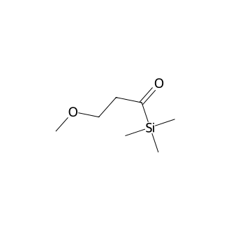 COCCC(=O)[Si](C)(C)C